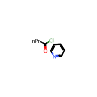 CCCC(=O)Cl.c1ccncc1